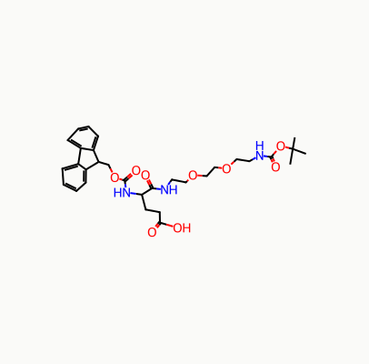 CC(C)(C)OC(=O)NCCOCCOCCNC(=O)C(CCC(=O)O)NC(=O)OCC1c2ccccc2-c2ccccc21